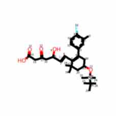 Cc1cc(C2=C(/C=C/C(O)CC(=O)CC(=O)O)C(C)(C)CC(O[Si](C)(C)C(C)(C)C)C2)ccc1F